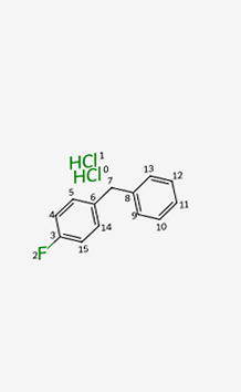 Cl.Cl.Fc1ccc(Cc2ccccc2)cc1